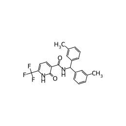 Cc1cccc(C(NC(=O)c2ccc(C(F)(F)F)[nH]c2=O)c2cccc(C)c2)c1